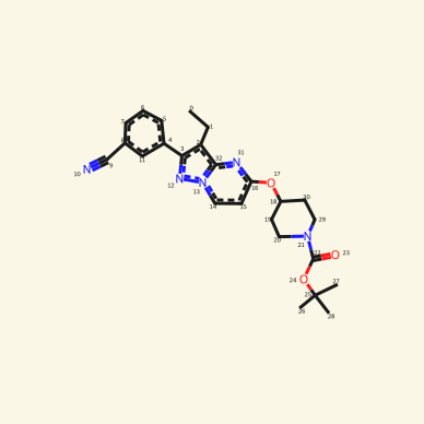 CCc1c(-c2cccc(C#N)c2)nn2ccc(OC3CCN(C(=O)OC(C)(C)C)CC3)nc12